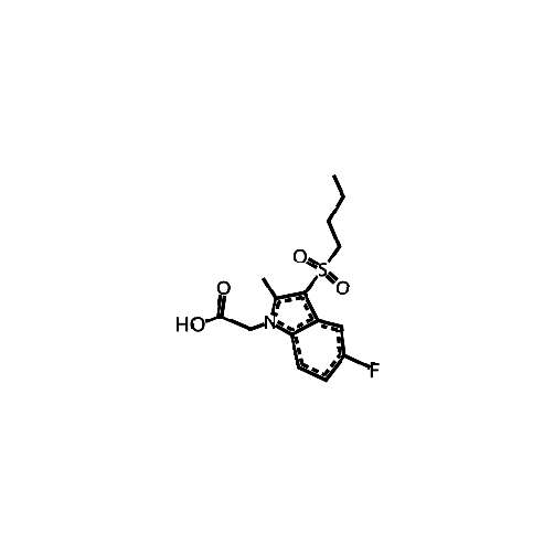 CCCCS(=O)(=O)c1c(C)n(CC(=O)O)c2ccc(F)cc12